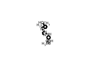 CC(C)(O)c1cccc2c1cnn2-c1ccnc(N[C@H]2CC[C@H](NS(C)(=O)=O)CC2)n1